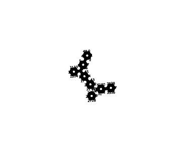 c1ccc(-c2ccc(C(c3ccccc3)c3ccc(-c4ccc(N(c5ccccc5)c5ccc(-c6ccccc6)cc5)cc4)cc3)cc2)cc1